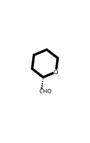 O=C[C@@H]1CCCCO1